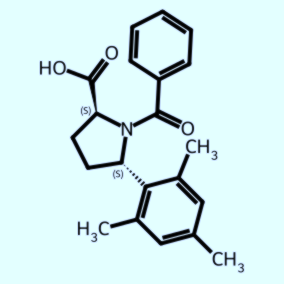 Cc1cc(C)c([C@@H]2CC[C@@H](C(=O)O)N2C(=O)c2ccccc2)c(C)c1